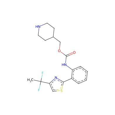 CC(F)(F)c1csc(-c2ccccc2NC(=O)OCC2CCNCC2)n1